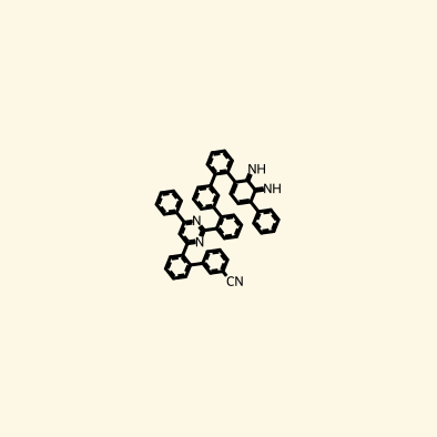 N#Cc1cccc(-c2ccccc2-c2cc(-c3ccccc3)nc(-c3ccccc3-c3cccc(-c4ccccc4C4=CC=C(c5ccccc5)C(=N)C4=N)c3)n2)c1